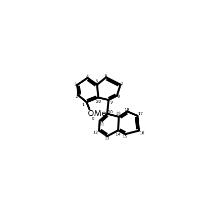 COc1cccc2cccc(-c3cccc4ccccc34)c12